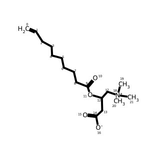 C=CCCCCCCCC(=O)OC(CC(=O)[O-])C[N+](C)(C)C